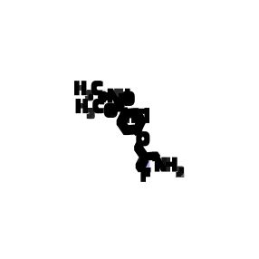 CC(C)NS(=O)(=O)c1ccc(OC/C(=C/F)CN)cc1.Cl